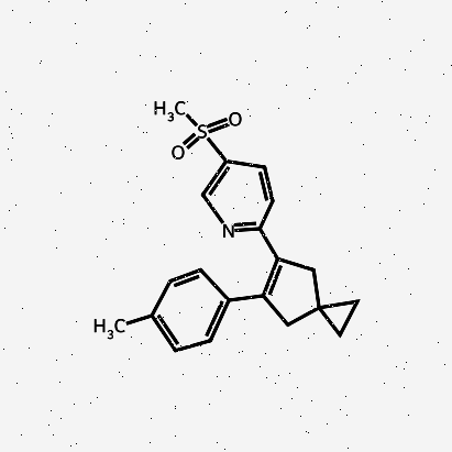 Cc1ccc(C2=C(c3ccc(S(C)(=O)=O)cn3)CC3(CC3)C2)cc1